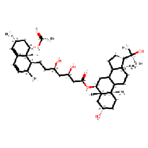 CCCCCC[C@](C)(O)[C@H]1CCC2C3C[C@H](OC(=O)C[C@H](O)C[C@H](O)CC[C@@H]4[C@@H]5C(=C[C@H](C)C[C@@H]5OC(=O)[C@@H](C)CC)C=C[C@@H]4C)[C@H]4C[C@@H](O)CC[C@]4(C)C3CC[C@@]21C